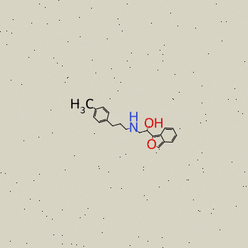 Cc1ccc(CCCNCC(O)c2occ3ccccc23)cc1